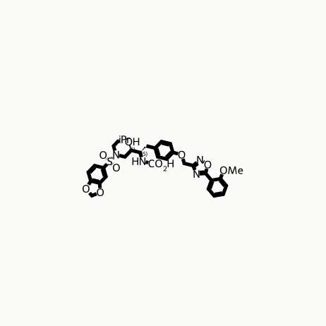 COc1ccccc1-c1nc(COc2ccc(C[C@H](NC(=O)O)[C@@H](O)CN(CC(C)C)S(=O)(=O)c3ccc4c(c3)OCO4)cc2)no1